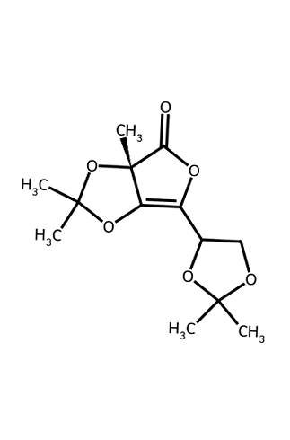 CC1(C)OCC(C2=C3OC(C)(C)O[C@]3(C)C(=O)O2)O1